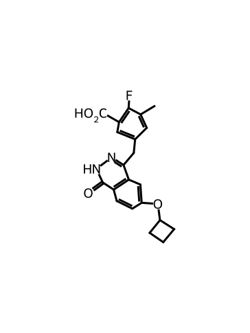 Cc1cc(Cc2n[nH]c(=O)c3ccc(OC4CCC4)cc23)cc(C(=O)O)c1F